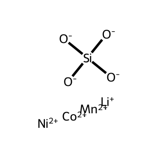 [Co+2].[Li+].[Mn+2].[Ni+2].[O-][Si]([O-])([O-])[O-]